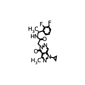 Cc1nn(C2CC2)c2cnn(CC(=O)N[C@@H](C)c3cccc(F)c3F)c(=O)c12